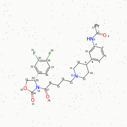 CC(C)C(=O)Nc1cccc(C2CCN(CCCCC(=O)N3C(=O)OC[C@@H]3c3ccc(F)c(F)c3)CC2)c1